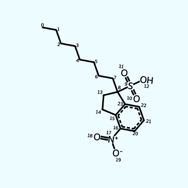 CCCCCCCCC1(S(=O)(=O)O)CCc2c([N+](=O)[O-])cccc21